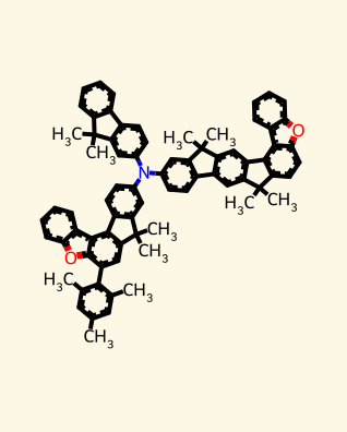 Cc1cc(C)c(-c2cc3c(c4c2oc2ccccc24)-c2ccc(N(c4ccc5c(c4)C(C)(C)c4ccccc4-5)c4ccc5c(c4)C(C)(C)c4cc6c(cc4-5)C(C)(C)c4ccc5oc7ccccc7c5c4-6)cc2C3(C)C)c(C)c1